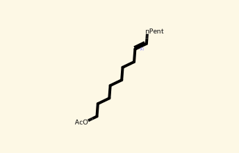 CCCCC/C=C/CCCCCCCOC(C)=O